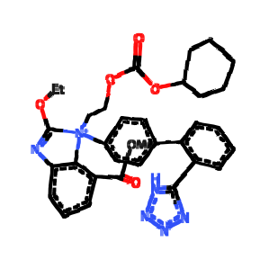 CCOC1=Nc2cccc(C(=O)OC)c2[N+]1(CCOC(=O)OC1CCCCC1)c1ccc(-c2ccccc2-c2nnn[nH]2)cc1